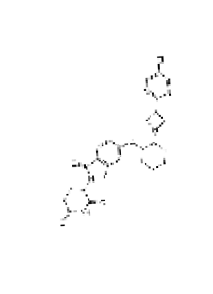 O=C1CCC(N2Cc3cc(OC4CCCCC4N4CC(c5ncc(Cl)cn5)C4)ccc3C2=O)C(=O)N1